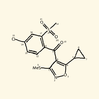 CSc1noc(C2CC2)c1C(=O)c1ccc(Cl)cc1S(C)(=O)=O